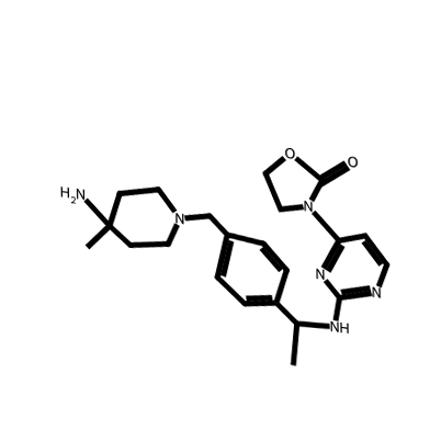 CC(Nc1nccc(N2CCOC2=O)n1)c1ccc(CN2CCC(C)(N)CC2)cc1